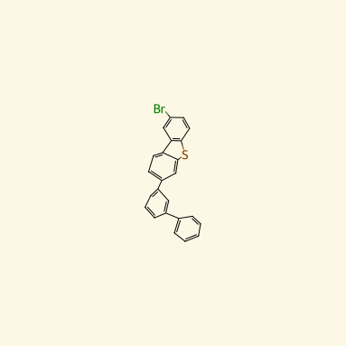 Brc1ccc2sc3cc(-c4cccc(-c5ccccc5)c4)ccc3c2c1